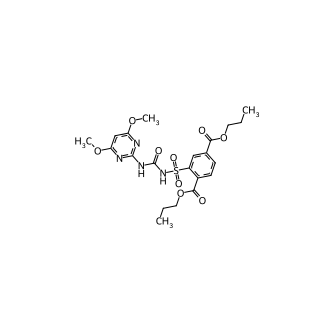 CCCOC(=O)c1ccc(C(=O)OCCC)c(S(=O)(=O)NC(=O)Nc2nc(OC)cc(OC)n2)c1